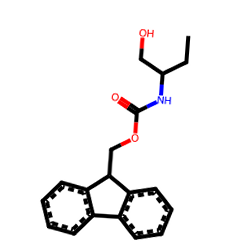 CCC(CO)NC(=O)OCC1c2ccccc2-c2ccccc21